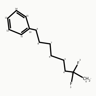 [CH2]C(F)(F)CCCCCCc1ccccc1